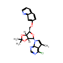 Cc1cn([C@@H]2O[C@H](COc3ccc4cccnc4c3)[C@H]3OC(C)(C)O[C@H]32)c2ncnc(Cl)c12